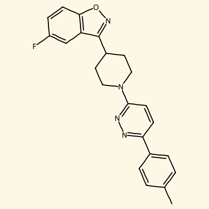 Cc1ccc(-c2ccc(N3CCC(c4noc5ccc(F)cc45)CC3)nn2)cc1